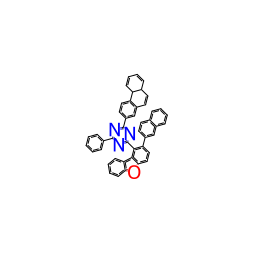 C1=CC2C=Cc3cc(-c4nc(-c5ccccc5)nc(-c5c(-c6ccc7ccccc7c6)ccc6oc7ccccc7c56)n4)ccc3C2C=C1